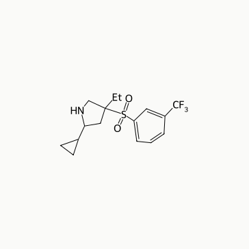 CCC1(S(=O)(=O)c2cccc(C(F)(F)F)c2)CNC(C2CC2)C1